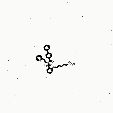 [2H]C([2H])(c1ccccc1OCCCCCC(=O)O)N(CCc1ccccn1)C(=O)c1ccc(-c2ccccc2)cc1